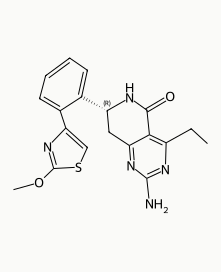 CCc1nc(N)nc2c1C(=O)N[C@@H](c1ccccc1-c1csc(OC)n1)C2